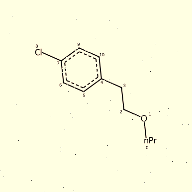 [CH2]CCOCCc1ccc(Cl)cc1